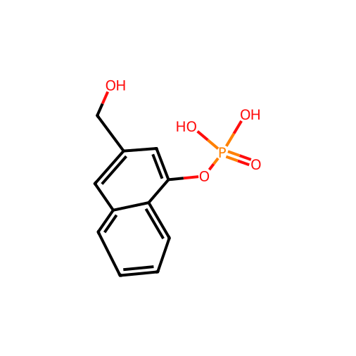 O=P(O)(O)Oc1cc(CO)cc2ccccc12